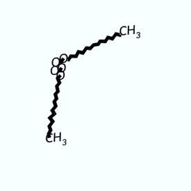 CCCCCCCCCCCCCCCCOC(=O)OC(=O)OCCCCCCCCCCCCCCCC